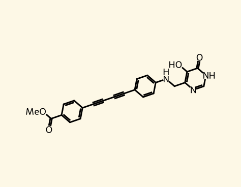 COC(=O)c1ccc(C#CC#Cc2ccc(NCc3nc[nH]c(=O)c3O)cc2)cc1